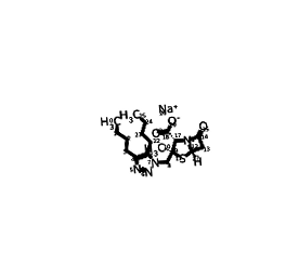 CCCCc1nnn(C[C@]2(C)S[C@H]3CC(=O)N3[C@H]2C(=O)[O-])c1CCCC.[Na+]